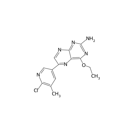 CCOc1nc(N)nc2ncc(-c3cnc(Cl)c(C)c3)nc12